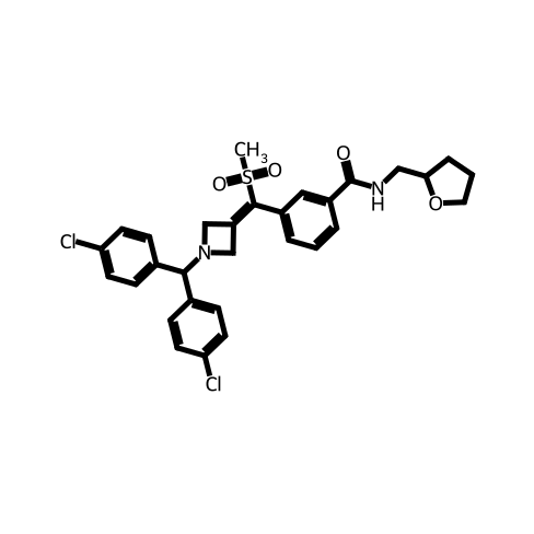 CS(=O)(=O)C(=C1CN(C(c2ccc(Cl)cc2)c2ccc(Cl)cc2)C1)c1cccc(C(=O)NCC2CCCO2)c1